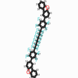 Fc1c(F)c(C(F)(F)C(F)(F)C(F)(F)C(F)(F)C(F)(F)C(F)(F)c2c(F)c(F)c(-c3ccc4oc5ccccc5c4c3)c(F)c2F)c(F)c(F)c1-c1ccc2oc3ccccc3c2c1